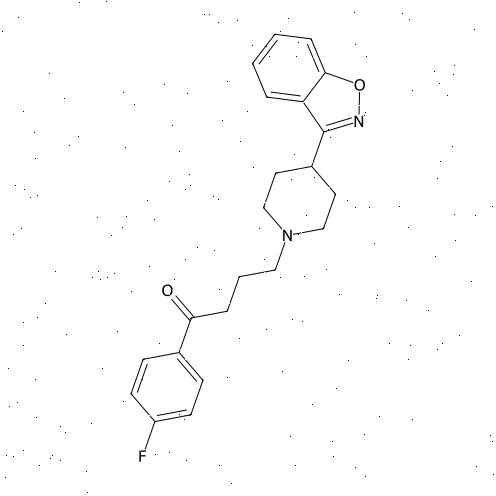 O=C(CCCN1CCC(c2noc3ccccc23)CC1)c1ccc(F)cc1